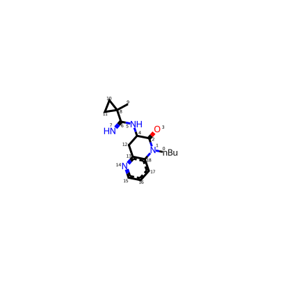 CCCCN1C(=O)C(NC(=N)C2(C)CC2)Cc2ncccc21